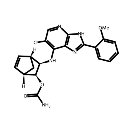 COc1ccccc1-c1nc2c(N[C@H]3[C@@H](OC(N)=O)[C@@H]4C=C[C@H]3C4)c(Cl)cnc2[nH]1